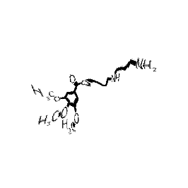 COc1cc(C(=O)OCCCNCCCN)cc(OC)c1OC